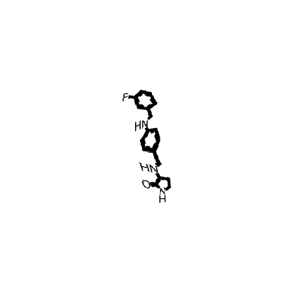 O=C1NCCC1NCc1ccc(NCc2cccc(F)c2)cc1